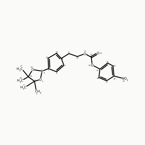 CC1(C)OB(c2ccc(CCOC(=O)Oc3ccc([N+](=O)[O-])cc3)cc2)OC1(C)C